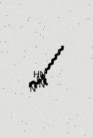 CCCCCCCCCCCCNc1cc(C)nc(-c2cccnc2)n1